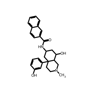 CN1CCC2(c3cccc(O)c3)CC(NC(=O)c3ccc4ccccc4c3)CC(O)C2C1